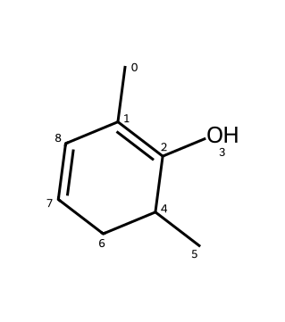 CC1=C(O)C(C)CC=C1